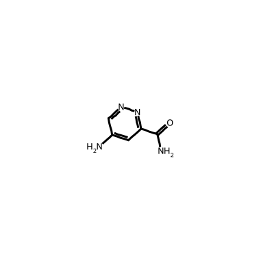 NC(=O)c1cc(N)cnn1